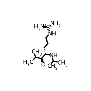 CC(C)N[C@@H](CCCN[B-](N)=[NH2+])C(=O)C(C)C